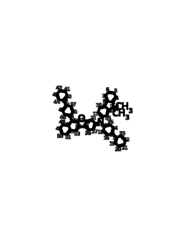 CC1(C)c2ccccc2-c2ccc(N(c3ccc(-c4ccccc4)cc3)c3ccc4c(c3)oc3c(-c5ccc(-c6ccccc6)cc5)c5ccccc5cc34)cc21